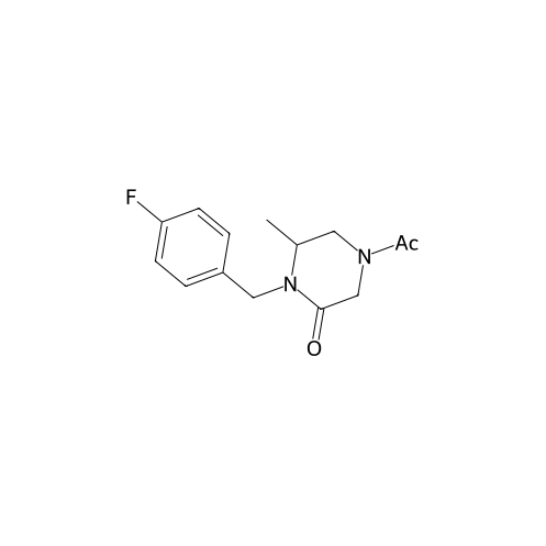 CC(=O)N1CC(=O)N(Cc2ccc(F)cc2)C(C)C1